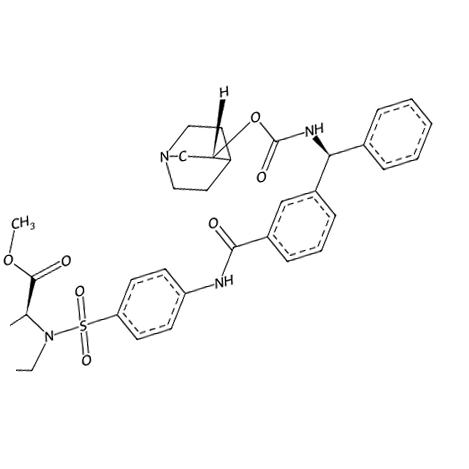 COC(=O)[C@@H]1CCCN1S(=O)(=O)c1ccc(NC(=O)c2cccc([C@@H](NC(=O)O[C@H]3CN4CCC3CC4)c3ccccc3)c2)cc1